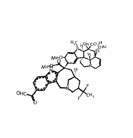 CC[C@]12C=CCN3CC[C@@]4(C5=CC([C@@]6(C(=O)OC)C[C@H]7CC(C(C)(F)F)CN(Cc8c6[nH]c6ccc(C(=O)C=O)cc86)C7)C(OC)C=C5N(C)[C@H]4[C@@](O)(C(=O)O)[C@@H]1OC(C)=O)[C@@H]32